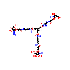 CC(CCCOC(=O)NCCCCCCNC(=O)CCCOC1OC(CO)C(O)C(O)C1N)(CCCOC(=O)NCCCCCCNC(=O)CCCOC1OC(CO)C(O)C(O)C1N)CCCOC(=O)NCCCCNC(=O)CCCOC1OC(CO)C(O)C(O)C1N